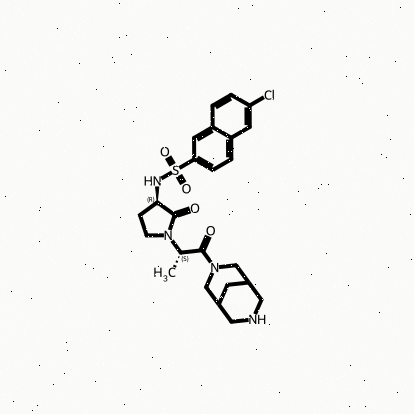 C[C@@H](C(=O)N1CC2CNCC(C2)C1)N1CC[C@@H](NS(=O)(=O)c2ccc3cc(Cl)ccc3c2)C1=O